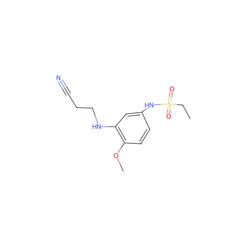 CCS(=O)(=O)Nc1ccc(OC)c(NCCC#N)c1